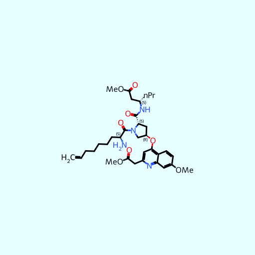 C=CCCCCC[C@H](N)C(=O)N1C[C@H](Oc2cc(CC(=O)OC)nc3cc(OC)ccc23)C[C@H]1C(=O)N[C@@H](CCC)CC(=O)OC